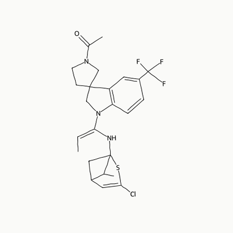 CC=C(NC12CC(C=C(Cl)S1)C2C)N1CC2(CCN(C(C)=O)C2)c2cc(C(F)(F)F)ccc21